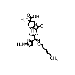 CCCCCCON=C(C(=O)NC1C(=O)N2CC(C)(C(=O)O)CS[C@H]12)c1csc(N)n1